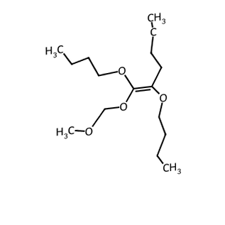 CCCCOC(CCCC)=C(OCCCC)OCOC